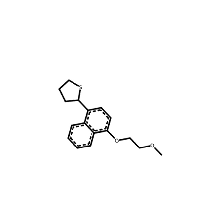 COCCOc1ccc(C2CCCS2)c2ccccc12